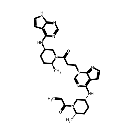 C=CC(=O)N1C[C@H](Nc2ncn(CCC(=O)N3C[C@H](Nc4ncnc5[nH]ccc45)CC[C@@H]3C)c3nccc2-3)CC[C@@H]1C